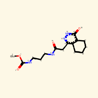 CC(C)(C)OC(=O)NCCCNC(=O)Cc1n[nH]c(=O)c2c1CCCC2